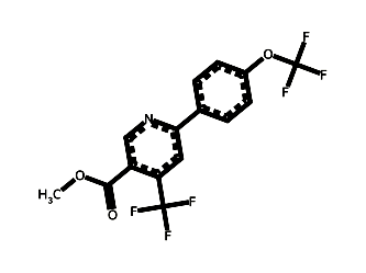 COC(=O)c1cnc(-c2ccc(OC(F)(F)F)cc2)cc1C(F)(F)F